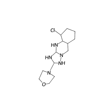 ClC1CCCC2CN3NC(N4CCOCC4)NC3NC12